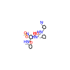 C[C@@H](NC(=O)c1cc(C(=O)N[C@@H](Cc2ccccc2)[C@H](O)CNCc2cccc(CN(C)C)c2)cc(N(C)S(C)(=O)=O)c1)c1ccccc1